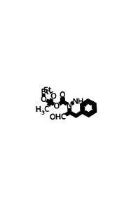 CCOC(C)(OCC)OC(=O)N(N)C(C=O)Cc1ccccc1